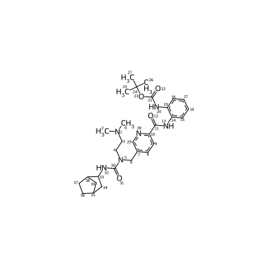 CN(C)CCN(Cc1ccc(C(=O)Nc2ccccc2NC(=O)OC(C)(C)C)nc1)C(=O)NC1CC2CCC1C2